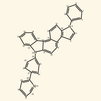 c1ccc(-n2ccc3c4ccc5c(c4ccc32)c2ccccc2n5-c2ccc(-c3ccccn3)cc2)cc1